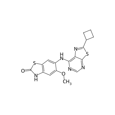 COc1cc2[nH]c(=O)sc2cc1Nc1ncnc2sc(C3CCC3)nc12